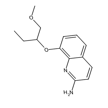 CCC(COC)Oc1cccc2ccc(N)nc12